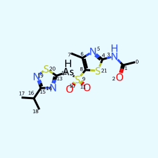 CC(=O)Nc1nc(C)c(S(=O)(=O)[AsH]c2nc(C(C)C)ns2)s1